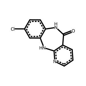 O=C1Nc2ccc(Cl)cc2Nc2ncccc21